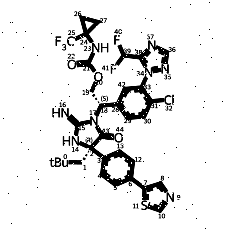 CC(C)(C)C[C@]1(c2ccc(-c3cncs3)cc2)NC(=N)N([C@H](COC(=O)NC2(C(F)(F)F)CC2)c2ccc(Cl)c(-n3ncnc3C(F)F)c2)C1=O